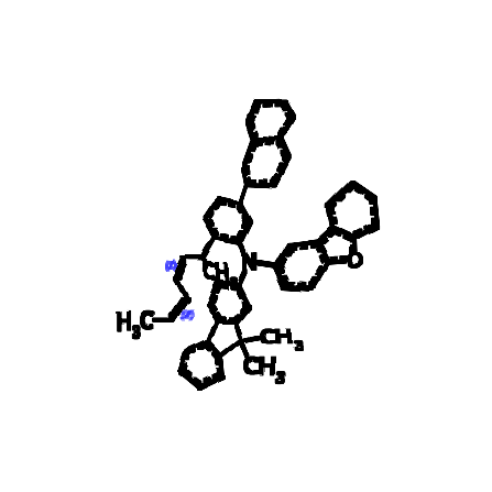 C/C=C\C=C/C(C)c1ccc(-c2ccc3ccccc3c2)cc1N(c1ccc2c(c1)C(C)(C)c1ccccc1-2)c1ccc2oc3ccccc3c2c1